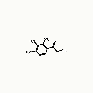 CCC(=O)c1ccc(C)c(N)c1C